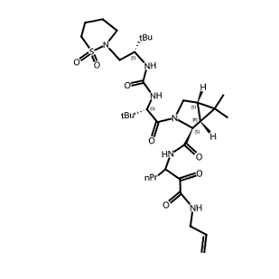 C=CCNC(=O)C(=O)C(CCC)NC(=O)[C@@H]1[C@@H]2[C@H](CN1C(=O)[C@@H](NC(=O)N[C@H](CN1CCCCS1(=O)=O)C(C)(C)C)C(C)(C)C)C2(C)C